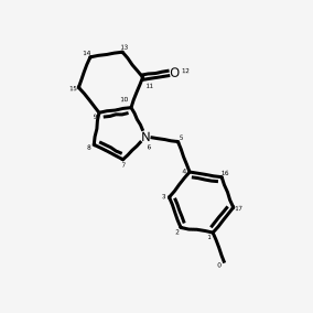 Cc1ccc(Cn2ccc3c2C(=O)CCC3)cc1